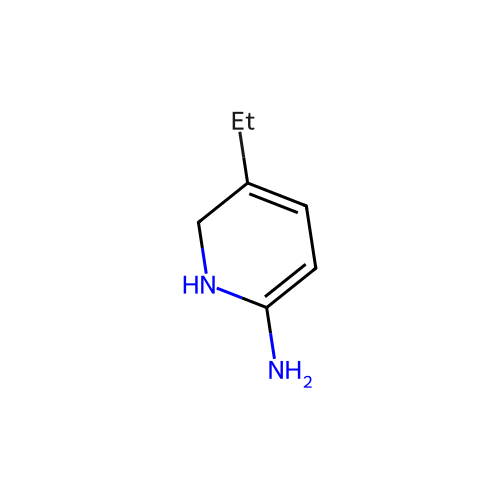 CCC1=CC=C(N)NC1